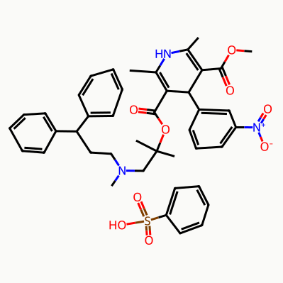 COC(=O)C1=C(C)NC(C)=C(C(=O)OC(C)(C)CN(C)CCC(c2ccccc2)c2ccccc2)C1c1cccc([N+](=O)[O-])c1.O=S(=O)(O)c1ccccc1